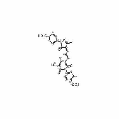 CC1=NN(c2ccc(S(=O)(=O)O)cc2)C(=O)C1=CC=Cc1c(C)c(C#N)c(=O)n(-c2ccc(S(=O)(=O)O)cc2)c1O